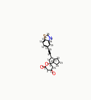 O=C1CC(=O)OC(CCC#Cc2ccc3scnc3c2)(C2CCCC2)C1